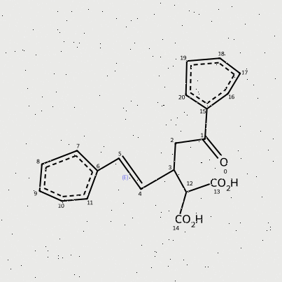 O=C(CC(/C=C/c1ccccc1)C(C(=O)O)C(=O)O)c1ccccc1